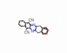 N#Cc1c2ccccc2c(C#N)c2nc3c(nc12)C1c2ccccc2C3c2ccccc21